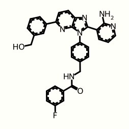 Nc1ncccc1-c1nc2ccc(-c3cccc(CO)c3)nc2n1-c1ccc(CNC(=O)c2cccc(F)c2)cc1